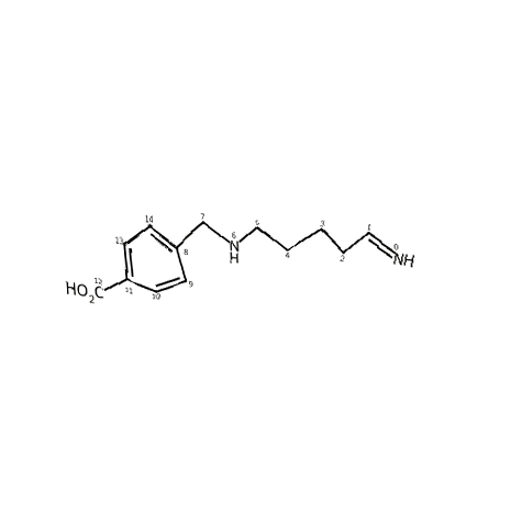 N=CCCCCNCc1ccc(C(=O)O)cc1